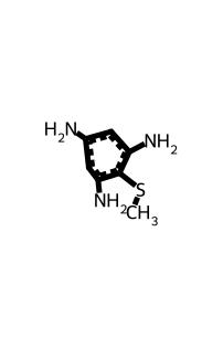 CSc1c(N)cc(N)cc1N